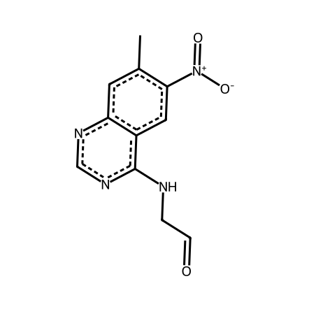 Cc1cc2ncnc(NCC=O)c2cc1[N+](=O)[O-]